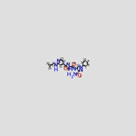 NC(=O)c1nn(-c2ccccc2)cc1NC(=O)c1coc(-c2ccnc(NCC3CC3)c2)n1